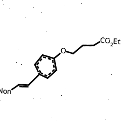 CCCCCCCCC/C=C/c1ccc(OCCCC(=O)OCC)cc1